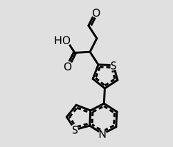 O=CCC(C(=O)O)c1cc(-c2ccnc3sccc23)cs1